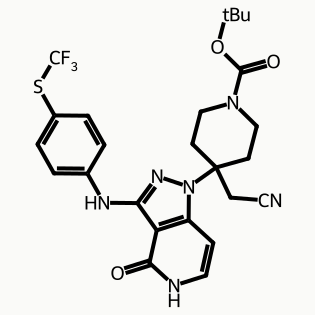 CC(C)(C)OC(=O)N1CCC(CC#N)(n2nc(Nc3ccc(SC(F)(F)F)cc3)c3c(=O)[nH]ccc32)CC1